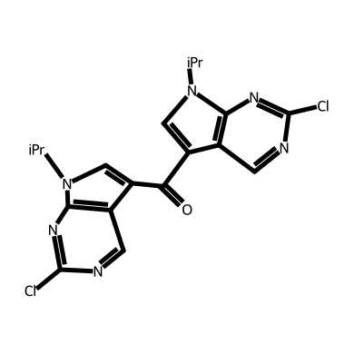 CC(C)n1cc(C(=O)c2cn(C(C)C)c3nc(Cl)ncc23)c2cnc(Cl)nc21